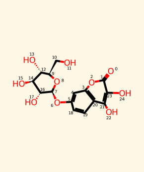 O=c1oc2cc(O[C@@H]3O[C@H](CO)[C@@H](O)[C@H](O)[C@H]3O)ccc2c(O)c1O